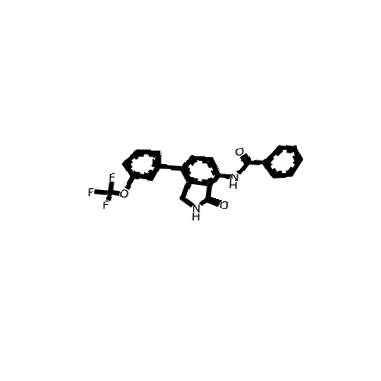 O=C(Nc1ccc(-c2cccc(OC(F)(F)F)c2)c2c1C(=O)NC2)c1ccccc1